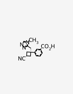 Cn1cnnc1C[C@]1(c2cccc(C(=O)O)c2)C[C@H](C#N)C1